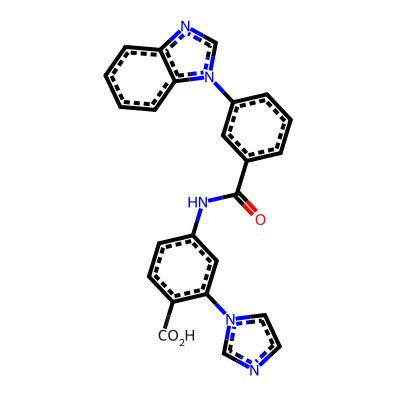 O=C(Nc1ccc(C(=O)O)c(-n2ccnc2)c1)c1cccc(-n2cnc3ccccc32)c1